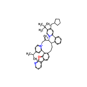 C=C1C[n+]2ccc(C(C)C)cc2-c2c(ccc3c2oc2ncccc23)CCC2c3ccccc3-c3cc(CC4CCCC4)c([Si](C)(C)C)c[n+]3C12